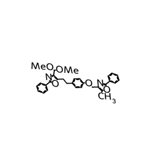 COC(OC)c1nc(-c2ccccc2)oc1CCc1ccc(OCc2nc(-c3ccccc3)oc2C)cc1